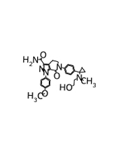 COc1ccc(-n2nc(C(N)=O)c3c2C(=O)N(c2ccc(C4(N(C)CCO)CC4)cc2)CC3)cc1